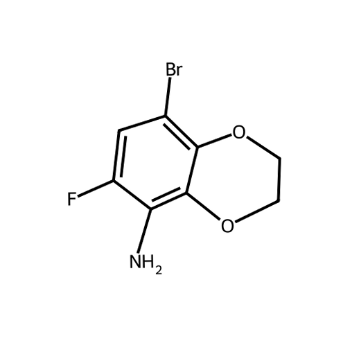 Nc1c(F)cc(Br)c2c1OCCO2